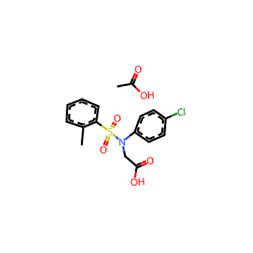 CC(=O)O.Cc1ccccc1S(=O)(=O)N(CC(=O)O)c1ccc(Cl)cc1